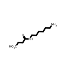 NCCCCCCNC(=O)CCC(=O)O